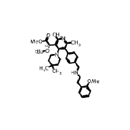 COC(=O)[C@@H](OC(C)(C)C)c1c(C)nc(C)c(-c2ccc(CNCCc3ccccc3OC)cc2)c1N1CCC(C)(C)CC1